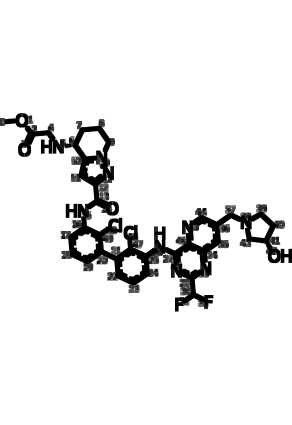 COC(=O)CN[C@@H]1CCCn2nc(C(=O)Nc3cccc(-c4cccc(Nc5nc(C(F)F)nc6cc(CN7CC[C@@H](O)C7)cnc56)c4Cl)c3Cl)cc21